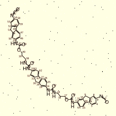 O=C=Nc1ccc2c(c1)Cc1cc(NC(=O)OCCCNC(=O)Nc3ccc4c(c3)Cc3cc(NC(=O)NCCCOC(=O)Nc5ccc6c(c5)Cc5cc(N=C=O)ccc5-6)ccc3-4)ccc1-2